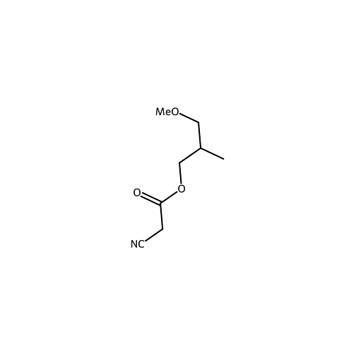 COCC(C)COC(=O)CC#N